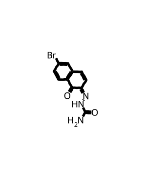 NC(=O)NN=C1C=Cc2cc(Br)ccc2C1=O